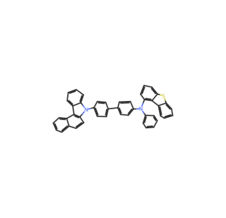 c1ccc(N(c2ccc(-c3ccc(-n4c5ccccc5c5c6ccccc6ccc54)cc3)cc2)c2cccc3sc4ccccc4c23)cc1